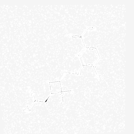 COC(=O)c1ccc(C(F)(F)F)c(NC[C@H]2C[C@H](CC(N)=O)C2(C)C)c1